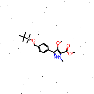 COC(=O)c1c(OC)c(-c2ccc(CO[Si](C)(C)C(C)(C)C)cc2)nn1C